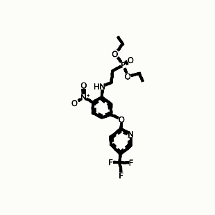 CCOP(=O)(CCNc1cc(Oc2ccc(C(F)(F)F)cn2)ccc1[N+](=O)[O-])OCC